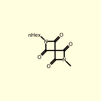 CCCCCCN1C(=O)C2(C(=O)N(C)C2=O)C1=O